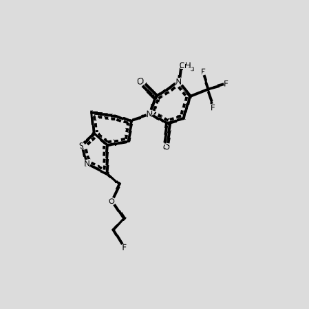 Cn1c(C(F)(F)F)cc(=O)n(-c2ccc3snc(COCCF)c3c2)c1=O